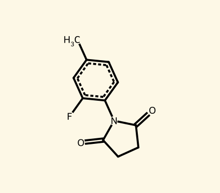 Cc1ccc(N2C(=O)CCC2=O)c(F)c1